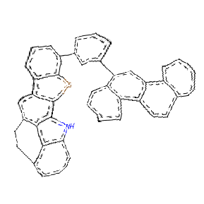 c1cc(-c2cc3c4ccccc4ccc3c3ccccc23)cc(-c2cccc3c2sc2c3cc3c4c2[nH]c2cccc(c24)CC3)c1